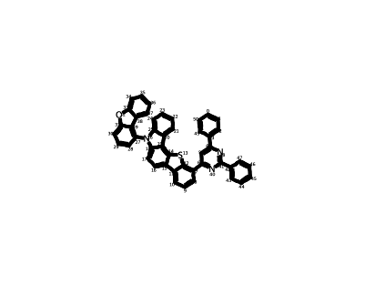 c1ccc(-c2cc(-c3cccc4c3sc3c4ccc4c3c3ccccc3n4-c3cccc4oc5ccccc5c34)nc(-c3ccccc3)n2)cc1